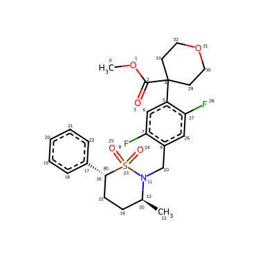 COC(=O)C1(c2cc(F)c(CN3[C@@H](C)CC[C@H](c4ccccc4)S3(=O)=O)cc2F)CCOCC1